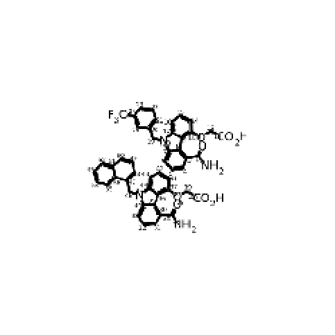 NC(=O)c1cccc2c1c1c(OCC(=O)O)cccc1n2Cc1cccc(C(F)(F)F)c1.NC(=O)c1cccc2c1c1c(OCC(=O)O)cccc1n2Cc1cccc2ccccc12